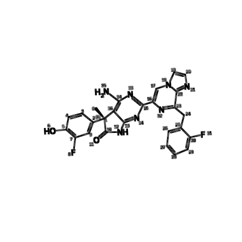 C[C@]1(c2ccc(O)c(F)c2)C(=O)Nc2nc(-c3cn4ccnc4c(Cc4ccccc4F)n3)nc(N)c21